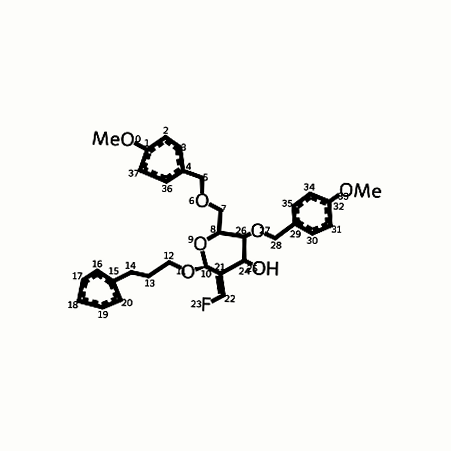 COc1ccc(COCC2O[C@H](OCCCc3ccccc3)/C(=C\F)C(O)C2OCc2ccc(OC)cc2)cc1